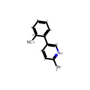 CC(C)c1ccc(-c2ccccc2C#N)cn1